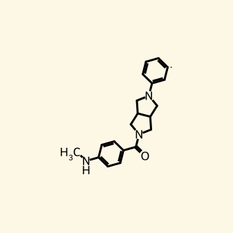 CNc1ccc(C(=O)N2CC3CN(c4c[c]ccc4)CC3C2)cc1